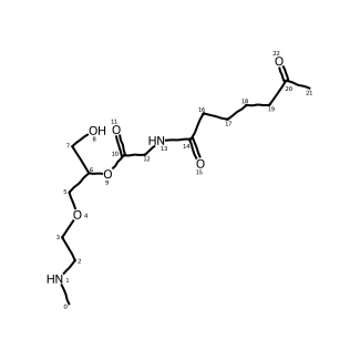 CNCCOCC(CO)OC(=O)CNC(=O)CCCCC(C)=O